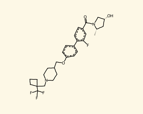 C[C@H]1C[C@@H](O)CN1C(=O)c1ccc(-c2ccc(OCC3CCN(CC4(C(F)(F)F)CCC4)CC3)cc2)c(F)c1